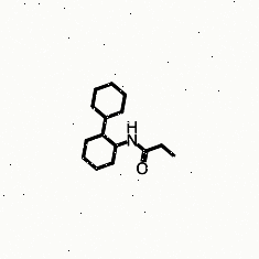 CCC(=O)NC1CCCCC1C1CCCCC1